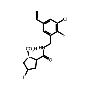 C=Cc1cc(Cl)c(F)c(CNC(=O)C2CC(F)CN2C(=O)O)c1